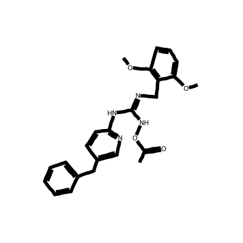 COc1cccc(OC)c1CN=C(NOC(C)=O)Nc1ccc(Cc2ccccc2)cn1